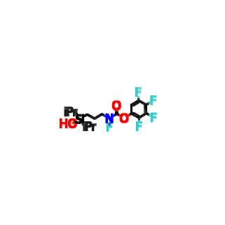 CC(C)[Si](O)(CCCN(F)C(=O)Oc1cc(F)c(F)c(F)c1F)C(C)C